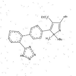 CCCC[N+]1(C)N=C(CCC)C(C(=O)OCC)=C1c1ccc(-c2ccccc2-c2nnn[nH]2)cc1